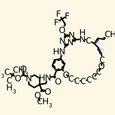 C=C/C=C1\C=C/COCCCCCCOc2cc(ccc2C(=O)NCC2(C(=O)OC)CCN(C(=O)OC(C)(C)C)CC2)Nc2nc(nc(OCC(F)(F)F)n2)NC1